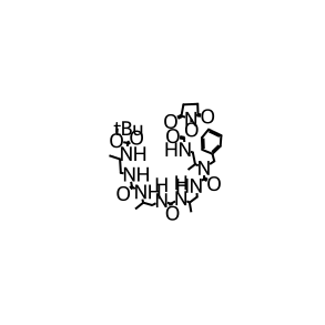 CC(CNC(=O)NC(C)CNC(=O)N(Cc1ccccc1)C(C)CNC(=O)ON1C(=O)CCC1=O)NC(=O)NCC(C)NC(=O)OC(C)(C)C